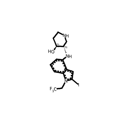 O[C@H]1CCNC[C@@H]1Nc1cccc2c1cc(I)n2CC(F)(F)F